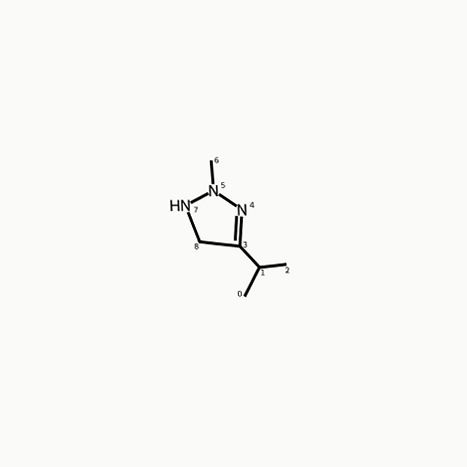 CC(C)C1=NN(C)NC1